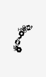 CN1CCN(S(=O)(=O)NC2CCC(CCN3CCN(c4nsc5ccccc45)CC3)CC2)CC1